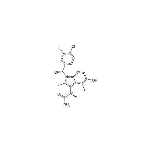 Cc1c([C@@H](C)C(N)=O)c2c(F)c(O)ccc2n1C(=O)c1ccc(Cl)c(F)c1